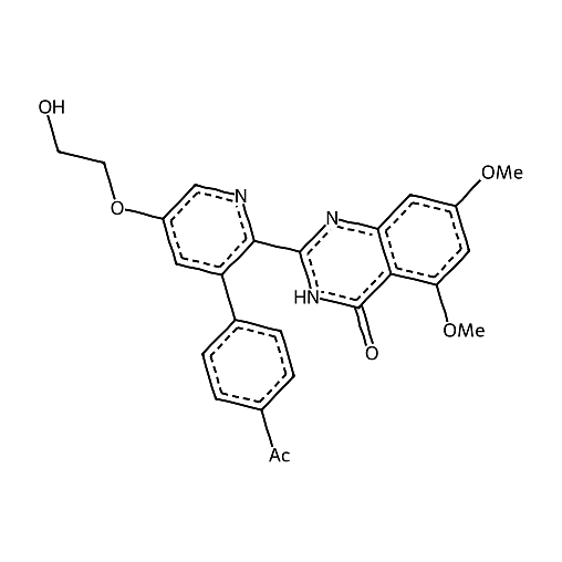 COc1cc(OC)c2c(=O)[nH]c(-c3ncc(OCCO)cc3-c3ccc(C(C)=O)cc3)nc2c1